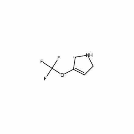 FC(F)(F)OC1=CCN[C]1